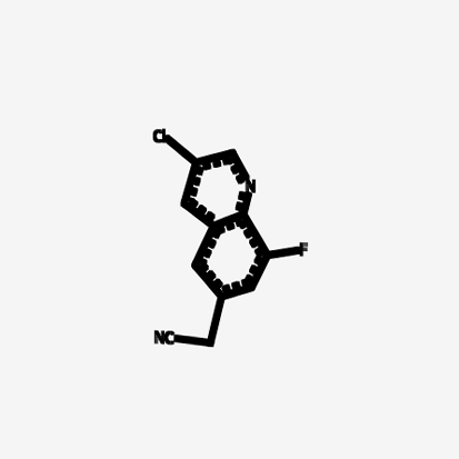 N#CCc1cc(F)c2ncc(Cl)cc2c1